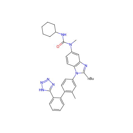 CCCCc1nc2cc(N(C)C(=O)NC3CCCCC3)ccc2n1-c1ccc(-c2ccccc2-c2nnn[nH]2)c(C)c1